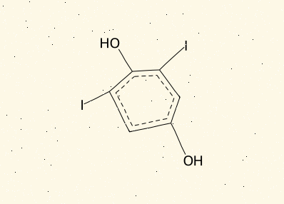 Oc1cc(I)c(O)c(I)c1